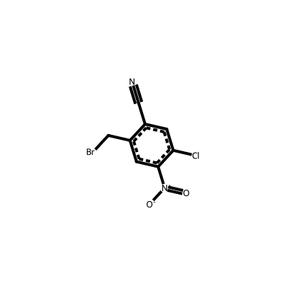 N#Cc1cc(Cl)c([N+](=O)[O-])cc1CBr